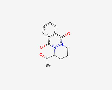 CC(C)C(=O)C1CCCn2c(=O)c3ccccc3c(=O)n21